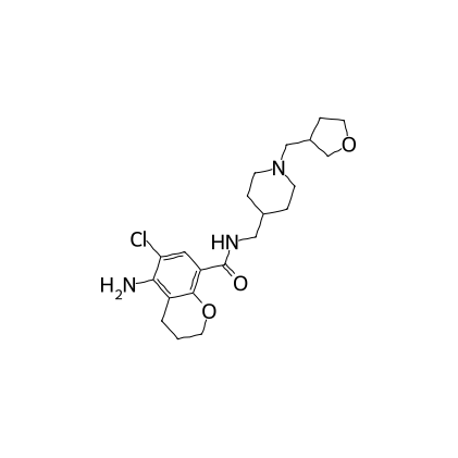 Nc1c(Cl)cc(C(=O)NCC2CCN(CC3CCOC3)CC2)c2c1CCCO2